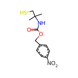 CC(C)(CS)NC(=O)OCc1ccc([N+](=O)[O-])cc1